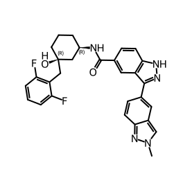 Cn1cc2cc(-c3n[nH]c4ccc(C(=O)N[C@@H]5CCC[C@@](O)(Cc6c(F)cccc6F)C5)cc34)ccc2n1